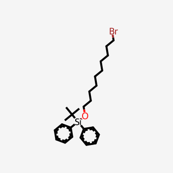 CC(C)(C)[Si](OCCCCCCCCCCBr)(c1ccccc1)c1ccccc1